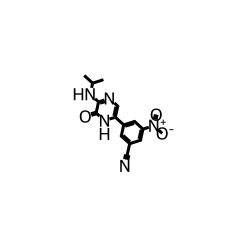 CC(C)Nc1ncc(-c2cc(C#N)cc([N+](=O)[O-])c2)[nH]c1=O